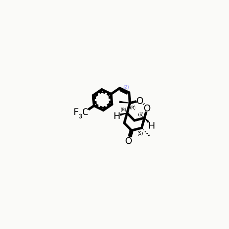 C[C@@H]1C(=O)C[C@H]2C[C@@H]1OO[C@@]2(C)/C=C\c1ccc(C(F)(F)F)cc1